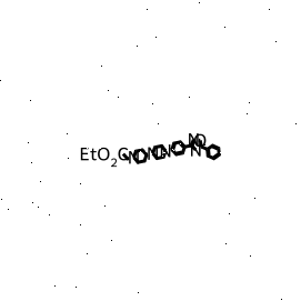 CCOC(=O)CN1CCC(N2CCN(c3ccc(-c4noc(-c5ccccc5)n4)cc3)CC2)CC1